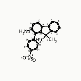 CC1(C)c2ccccc2-c2ccc(N)c(-c3ccc([N+](=O)[O-])cc3)c21